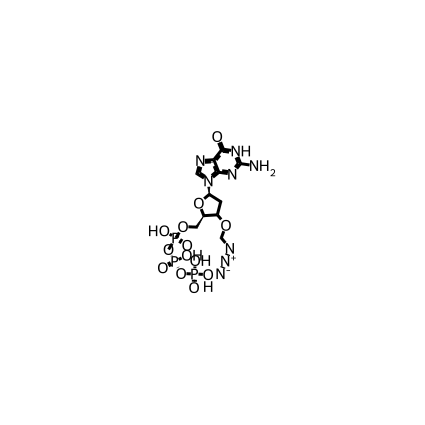 [N-]=[N+]=NCOC1C[C@H](n2cnc3c(=O)[nH]c(N)nc32)O[C@@H]1COP(=O)(O)OP(=O)(O)OP(=O)(O)O